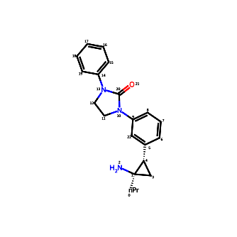 CCC[C@@]1(N)C[C@H]1c1cccc(N2CCN(c3ccccc3)C2=O)c1